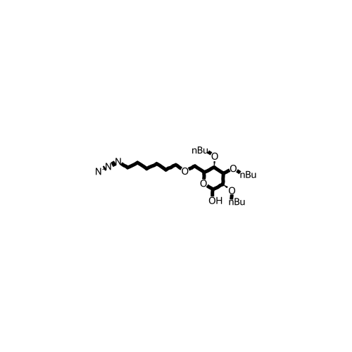 CCCCOC1[C@H](OCCCC)C(O)OC(COCCCCCCN=[N+]=[N-])[C@@H]1OCCCC